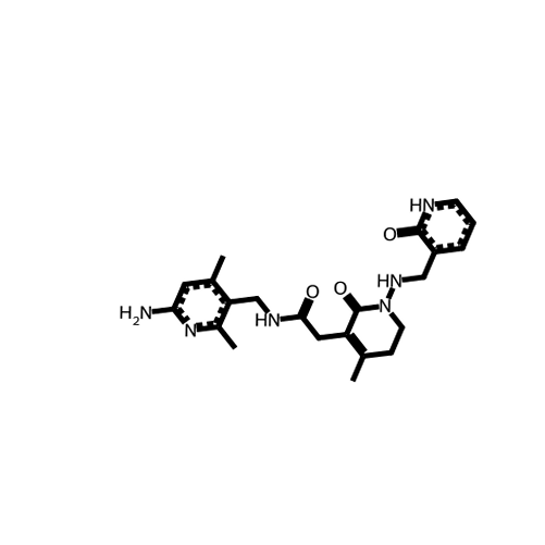 CC1=C(CC(=O)NCc2c(C)cc(N)nc2C)C(=O)N(NCc2ccc[nH]c2=O)CC1